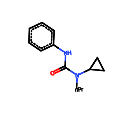 CCCN(C(=O)Nc1ccccc1)C1CC1